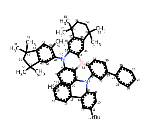 Cc1cc2c3c(c1)N(c1ccc(C(C)(C)C)cc1-c1ccccc1)c1cc(-c4ccccc4)ccc1B3c1cc3c(cc1N2c1cc2c(cc1C)C(C)(C)CC2(C)C)C(C)(C)CCC3(C)C